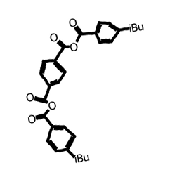 CCC(C)c1ccc(C(=O)OC(=O)c2ccc(C(=O)OC(=O)c3ccc(C(C)CC)cc3)cc2)cc1